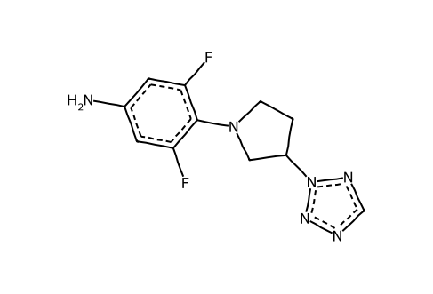 Nc1cc(F)c(N2CCC(n3ncnn3)C2)c(F)c1